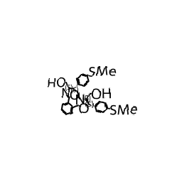 CSc1ccc([C@@H]2OC(c3ccccc3C3=N[C@@H](CO)[C@H](c4ccc(SC)cc4)O3)=N[C@H]2CO)cc1